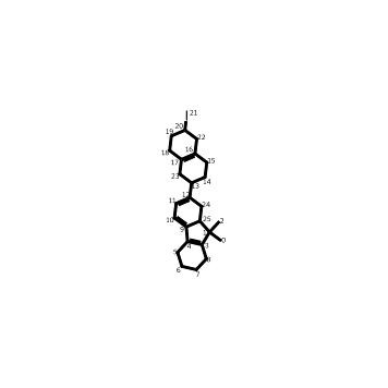 CC1(C)C2=C(CCCC2)C2=CC=C(C3CCC4=C(CCC(I)C4)C3)CC21